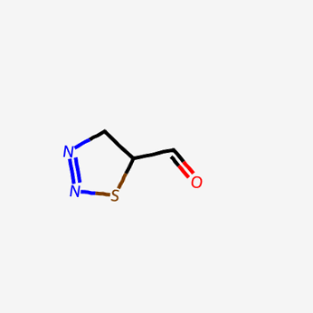 O=CC1CN=NS1